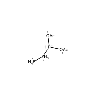 CC(=O)O[PH2](OC(C)=O)[PH3][PH4]